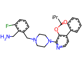 CC(C)C(=O)Oc1c(-c2ccccc2)ccnc1N1CCN(Cc2cccc(F)c2CN)CC1